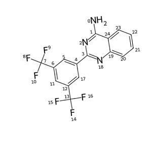 Nc1nc(-c2cc(C(F)(F)F)cc(C(F)(F)F)c2)nc2ccccc12